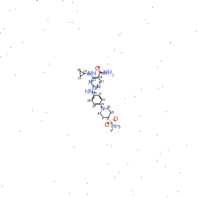 CN(C)S(=O)(=O)C1CCN(c2ccc(Nc3ncc(C(N)=O)c(NC4CC4)n3)cc2)CC1